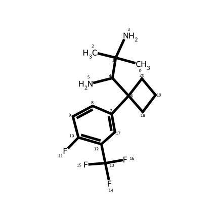 CC(C)(N)C(N)C1(c2ccc(F)c(C(F)(F)F)c2)CCC1